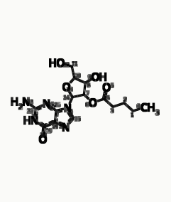 CCCCC(=O)OC1C(O)C(CO)OC1n1cnc2c(=O)[nH]c(N)nc21